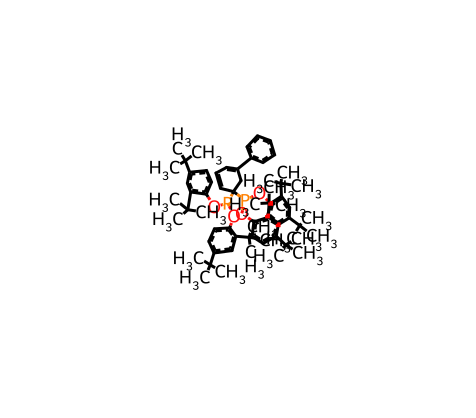 CC(C)(C)c1ccc(OP(Oc2ccc(C(C)(C)C)cc2C(C)(C)C)C2(P(Oc3ccc(C(C)(C)C)cc3C(C)(C)C)Oc3ccc(C(C)(C)C)cc3C(C)(C)C)C=CC=C(c3ccccc3)C2)c(C(C)(C)C)c1